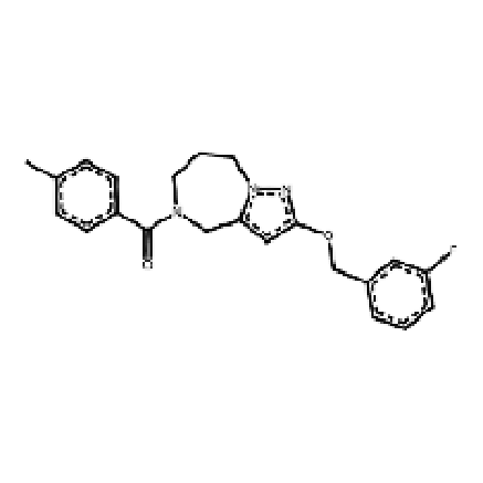 Cc1ccc(C(=O)N2CCCn3nc(OCc4cccc(F)c4)cc3C2)cc1